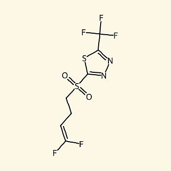 O=S(=O)(CCC=C(F)F)c1nnc(C(F)(F)F)s1